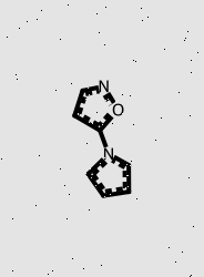 c1ccn(-c2ccno2)c1